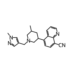 CC1CC(c2ccc(C#N)c3ncccc23)CN(Cc2cnn(C)c2)C1